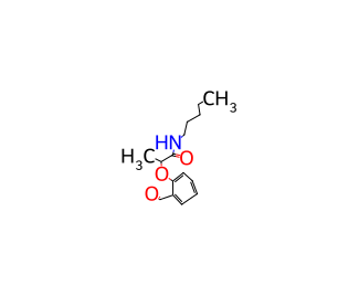 CCCCCNC(=O)C(C)Oc1ccccc1C=O